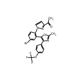 CC(=O)c1ccn(-c2ccc(Br)cc2-c2oc(C)nc2-c2ccc(OC(F)(F)F)cc2)n1